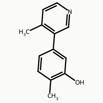 Cc1ccc(-c2cnccc2C)cc1O